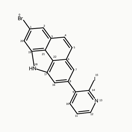 Brc1cc2ccc3cc(-c4cccnc4I)cc4[nH]c(c1)c2c34